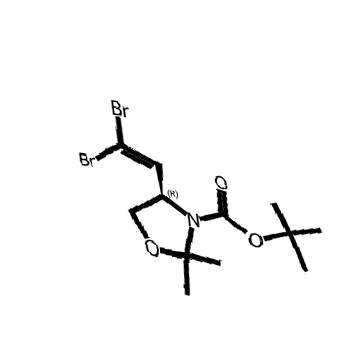 CC(C)(C)OC(=O)N1[C@H](C=C(Br)Br)COC1(C)C